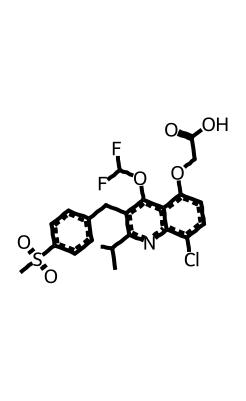 CC(C)c1nc2c(Cl)ccc(OCC(=O)O)c2c(OC(F)F)c1Cc1ccc(S(C)(=O)=O)cc1